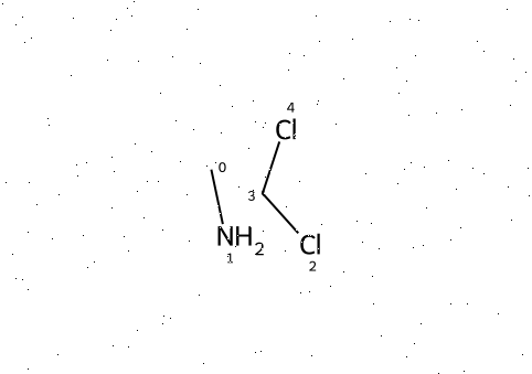 CN.ClCCl